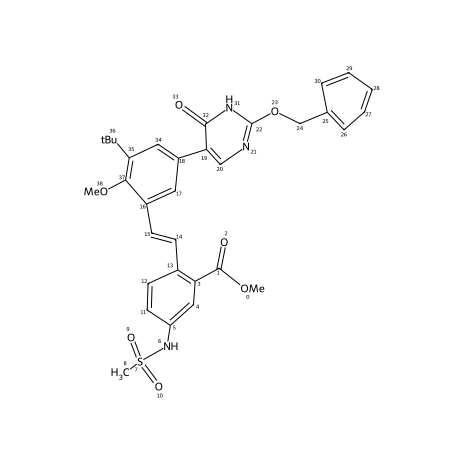 COC(=O)c1cc(NS(C)(=O)=O)ccc1C=Cc1cc(-c2cnc(OCc3ccccc3)[nH]c2=O)cc(C(C)(C)C)c1OC